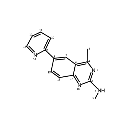 CNc1nc(C)c2cc(-c3ccccn3)ccc2n1